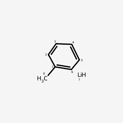 Cc1[c]cccc1.[LiH]